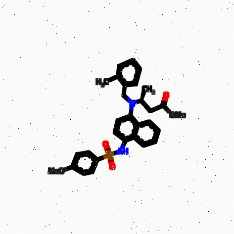 COC(=O)C[C@H](C)N(Cc1ccccc1C)c1ccc(NS(=O)(=O)c2ccc(OC)cc2)c2ccccc12